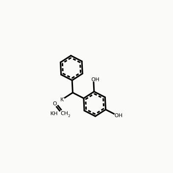 C=O.Oc1ccc([CH]([K])c2ccccc2)c(O)c1.[KH]